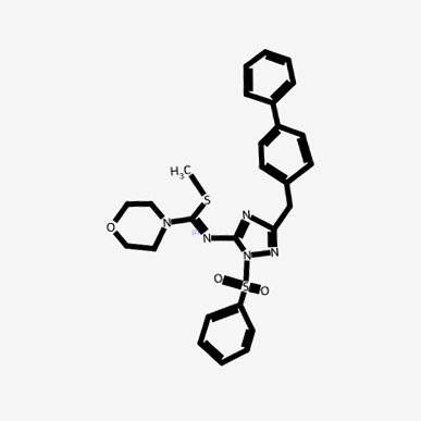 CS/C(=N\c1nc(Cc2ccc(-c3ccccc3)cc2)nn1S(=O)(=O)c1ccccc1)N1CCOCC1